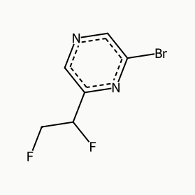 FCC(F)c1cncc(Br)n1